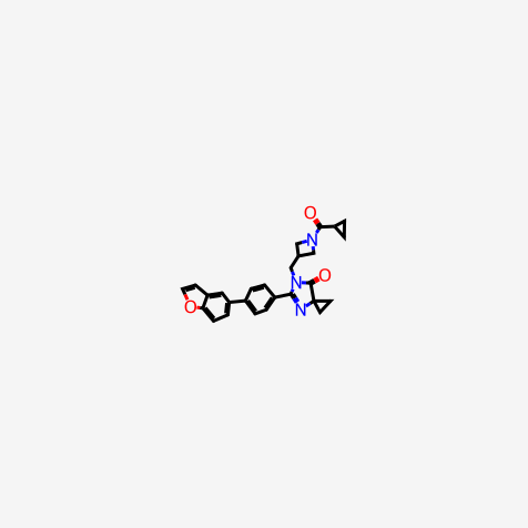 O=C(C1CC1)N1CC(CN2C(=O)C3(CC3)N=C2c2ccc(-c3ccc4occc4c3)cc2)C1